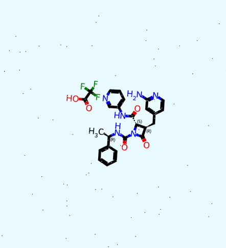 C[C@@H](NC(=O)N1C(=O)[C@H](Cc2ccnc(N)c2)[C@H]1C(=O)Nc1cccnc1)c1ccccc1.O=C(O)C(F)(F)F